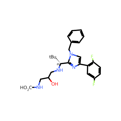 CC(C)(C)[C@@H](NCC(O)CNC(=O)O)c1nc(-c2cc(F)ccc2F)cn1Cc1ccccc1